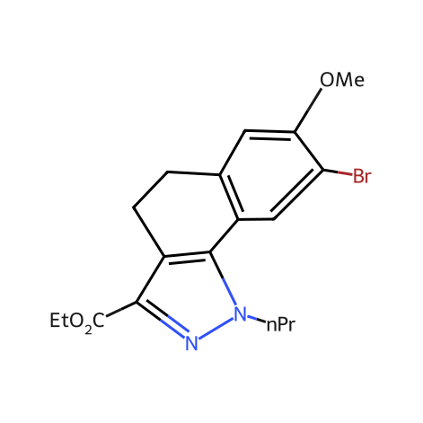 CCCn1nc(C(=O)OCC)c2c1-c1cc(Br)c(OC)cc1CC2